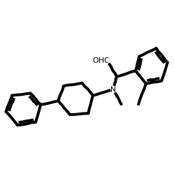 Cc1ccccc1C(C=O)N(C)C1CCC(c2ccccc2)CC1